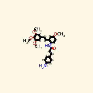 COc1ccc(NC(=O)/C=C/c2ccc(N)cc2)c(C=Cc2cc(OC)c(OC)c(OC)c2)c1